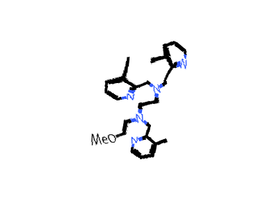 COCCN(CCN(Cc1ncccc1C)Cc1ncccc1C)Cc1ncccc1C